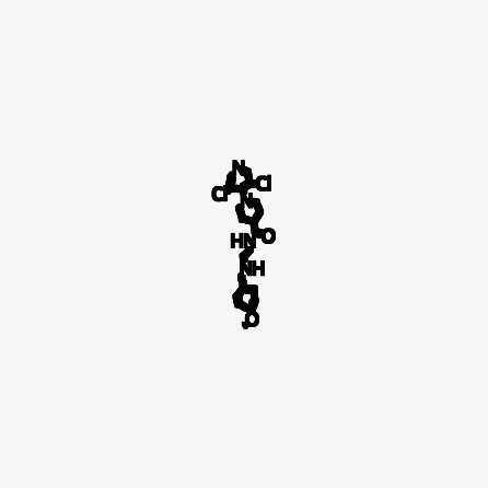 COc1ccc(CNCCNC(=O)C2CCN(c3c(Cl)cncc3Cl)CC2)cc1